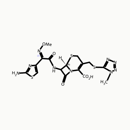 CO/N=C(\C(=O)NC1C(=O)N2C(C(=O)O)=C(CSc3nnnn3C)CS[C@H]12)c1csc(N)n1